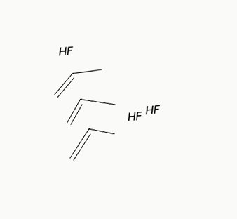 C=CC.C=CC.C=CC.F.F.F